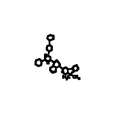 CC1(C)c2ccccc2-c2cc(-c3ccc(-c4cc(-c5ccc(-c6ccccc6)cc5)nc(-c5ccccc5)n4)c4ccccc34)ccc21